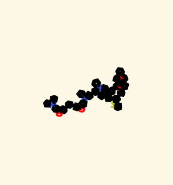 c1ccc([Si](c2ccccc2)(c2cccc(-c3cc(-c4ccc5c(c4)sc4c([Si](c6ccccc6)(c6ccccc6)c6cccc7c6sc6ccccc67)cccc45)cc4c3sc3ccccc34)c2)c2cccc(-n3c4ccccc4c4cc(-c5ccc6c(c5)c5ccccc5n6-c5ccc6oc7ccc(-c8cccc(-c9ccc%10oc%11ccc(-n%12c%13ccccc%13c%13ccccc%13%12)cc%11c%10c9)c8)cc7c6c5)ccc43)c2)cc1